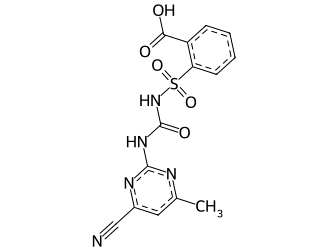 Cc1cc(C#N)nc(NC(=O)NS(=O)(=O)c2ccccc2C(=O)O)n1